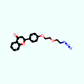 [N-]=[N+]=NCCOCCOc1ccc(-c2cc(=O)c3ccccc3o2)cc1